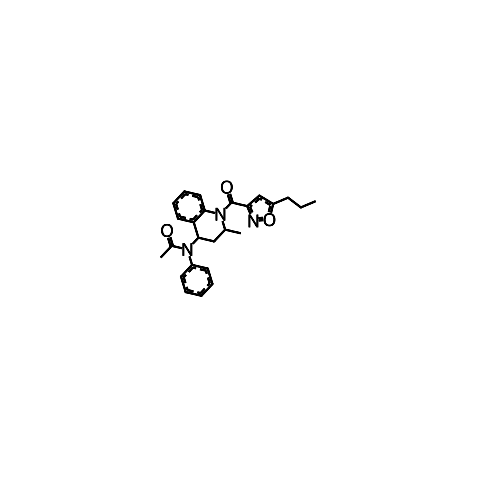 CCCc1cc(C(=O)N2c3ccccc3C(N(C(C)=O)c3ccccc3)CC2C)no1